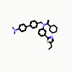 C=C(C1CCCCC1)N(Cc1ccc(-c2ccc(N(C)C)cc2)cc1)c1cccc(-c2ncc(CC)s2)c1